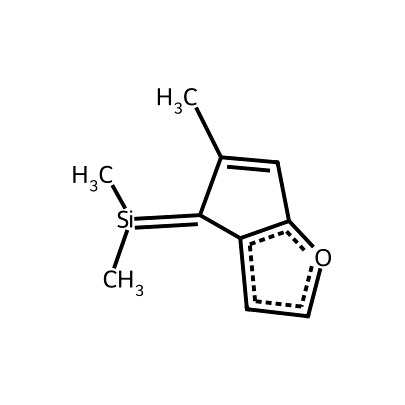 CC1=Cc2occc2C1=[Si](C)C